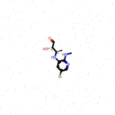 CNc1ncc(Br)cc1N[C@H](C)[C@H](O)C=O